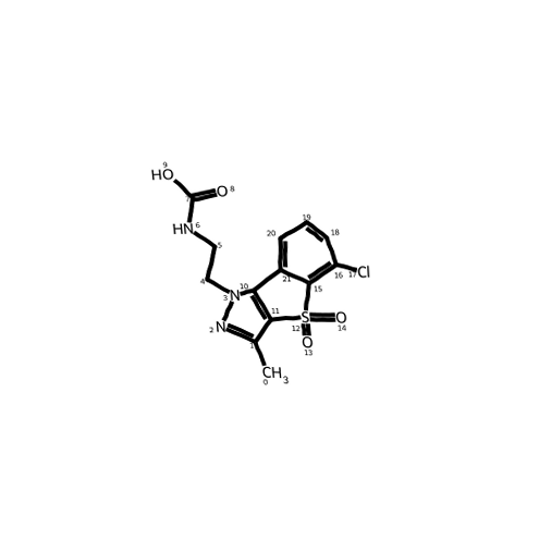 Cc1nn(CCNC(=O)O)c2c1S(=O)(=O)c1c(Cl)cccc1-2